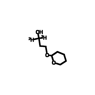 [2H]C([2H])(O)CCOC1CCCCO1